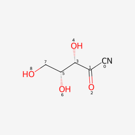 N#CC(=O)[C@@H](O)[C@H](O)CO